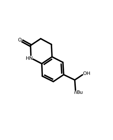 CCCCC(O)c1ccc2c(c1)CCC(=O)N2